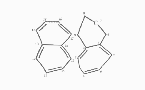 c1ccc2c(c1)CCCC2.c1ccc2ccccc2c1